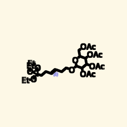 CCO[Si](CC/C=C/CCOC1OC(COC(C)=O)C(OC(C)=O)C(OC(C)=O)C1OC(C)=O)(OCC)OCC